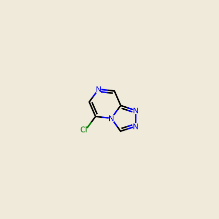 Clc1cncc2nncn12